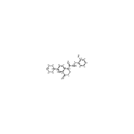 O=C1CCN(C(=O)NCc2ccccc2F)c2ccc(N3CCOCC3)nc21